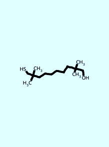 CC(C)(CO)CCCCCCC(C)(C)CS